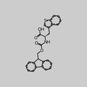 O=C(N[C@H](Cc1csc2ccccc12)C(=O)O)OCC1c2ccccc2-c2ccccc21